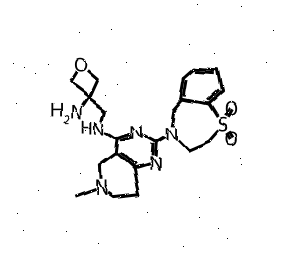 CN1CCc2nc(N3CCS(=O)(=O)c4ccccc4C3)nc(NCC3(N)COC3)c2C1